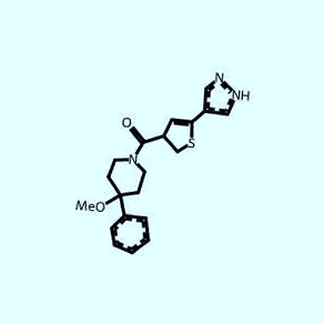 COC1(c2ccccc2)CCN(C(=O)C2C=C(c3cn[nH]c3)SC2)CC1